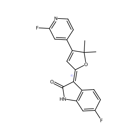 CC1(C)O/C(=C2/C(=O)Nc3cc(F)ccc32)C=C1c1ccnc(F)c1